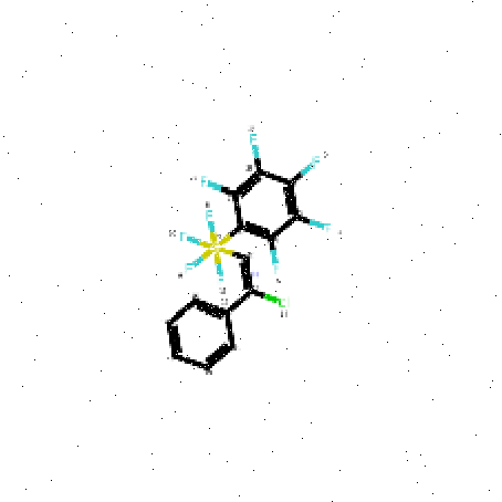 Fc1c(F)c(F)c(S(F)(F)(F)(F)/C=C(/Cl)c2ccccc2)c(F)c1F